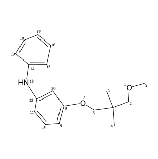 COCC(C)(C)COc1cccc(Nc2ccccc2)c1